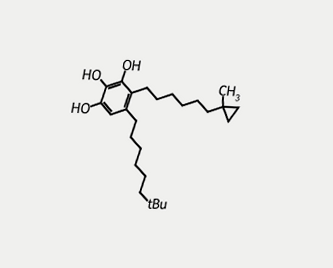 CC(C)(C)CCCCCCc1cc(O)c(O)c(O)c1CCCCCCC1(C)CC1